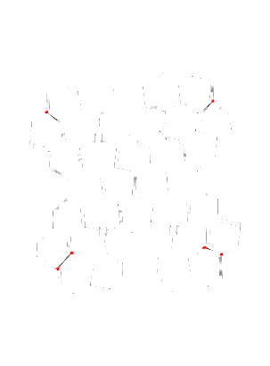 c1ccc2c(N(c3cccc4ccccc34)c3cc(N(c4cccc5ccccc45)c4cccc5ccccc45)c4ccc5c(N(c6cccc7ccccc67)c6cccc7ccccc67)cc(N(c6cccc7ccccc67)c6cccc7ccccc67)c6ccc3c4c65)cccc2c1